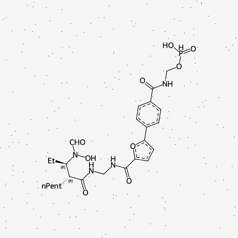 CCCCC[C@@H](C(=O)NCNC(=O)c1ccc(-c2ccc(C(=O)NCO[PH](=O)O)cc2)o1)[C@@H](CC)N(O)C=O